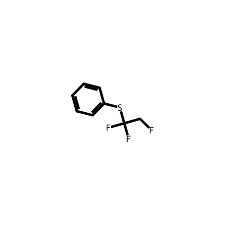 FCC(F)(F)Sc1ccccc1